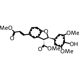 COC(=O)/C=C/c1ccc2c(c1)[C@@H](C(=O)OC)[C@H](c1cc(OC)c(O)c(OC)c1)O2